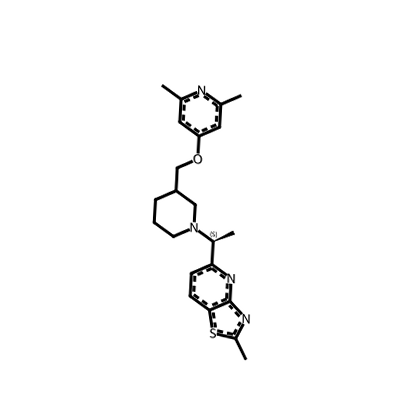 Cc1cc(OCC2CCCN([C@@H](C)c3ccc4sc(C)nc4n3)C2)cc(C)n1